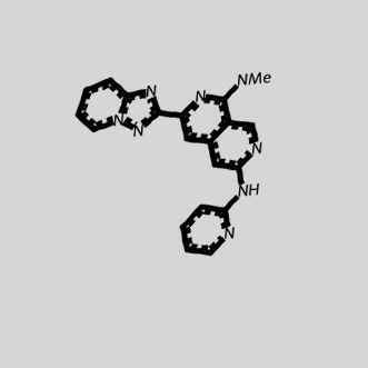 CNc1nc(-c2nc3ccccn3n2)cc2cc(Nc3ccccn3)ncc12